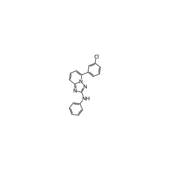 Clc1cccc(-c2cccc3nc(Nc4ccccc4)nn23)c1